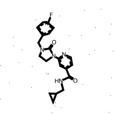 O=C(NCC1CC1)c1ccnc(N2CCN(Cc3ccc(F)cc3)C2=O)c1